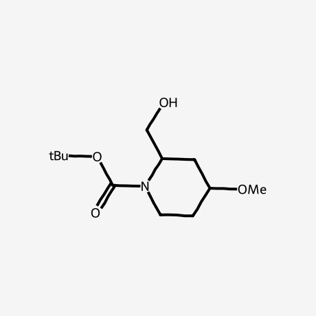 COC1CCN(C(=O)OC(C)(C)C)C(CO)C1